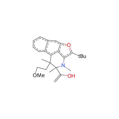 C=C(O)C1(C)N(C)c2c(C(C)(C)C)oc3cc4ccccc4c(c23)C1(C)CCOC